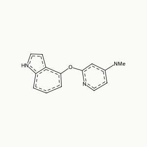 CNc1ccnc(Oc2cccc3[nH]ccc23)c1